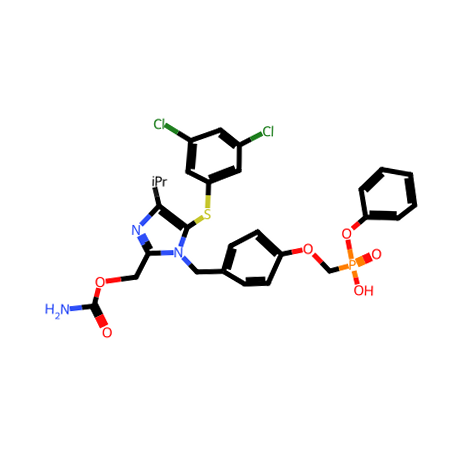 CC(C)c1nc(COC(N)=O)n(Cc2ccc(OCP(=O)(O)Oc3ccccc3)cc2)c1Sc1cc(Cl)cc(Cl)c1